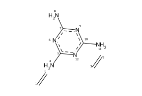 C=C.C=C.Nc1nc(N)nc(N)n1